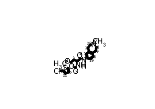 COCCC(NC(=O)Oc1ccc(Cl)s1)C(=O)Nc1ccc2c(c1)CCN(C)CC2